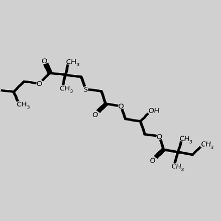 CCC(C)(C)C(=O)OCC(O)COC(=O)CSCC(C)(C)C(=O)OCC(C)C